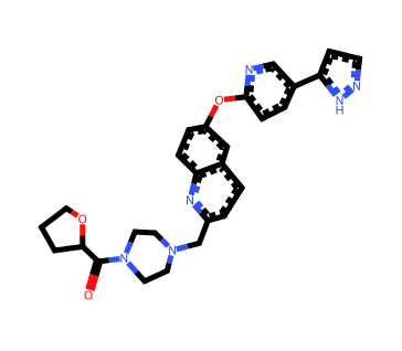 O=C(C1CCCO1)N1CCN(Cc2ccc3cc(Oc4ccc(-c5ccn[nH]5)cn4)ccc3n2)CC1